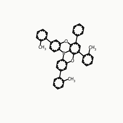 Cc1ccccc1-c1ccc2c(c1)Oc1c(-c3ccccc3)cc(-c3ccccc3C)c3c1B2c1ccc(-c2ccccc2C)cc1O3